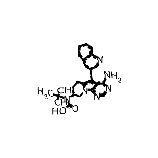 CC(C)(C)N(C(=O)O)C1CCc2c(-c3cnc4ccccc4c3)c3c(N)ncnc3n2C1